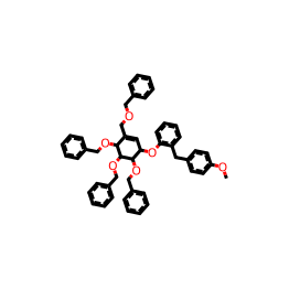 COc1ccc(Cc2ccccc2OC2C=C(COCc3ccccc3)C(OCc3ccccc3)C(OCc3ccccc3)C2OCc2ccccc2)cc1